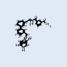 CC(=O)c1cccc(C(=O)NCc2cccc(-c3cccc(CN4C[C@@H]5C[C@H]4CN5)c3)c2)c1